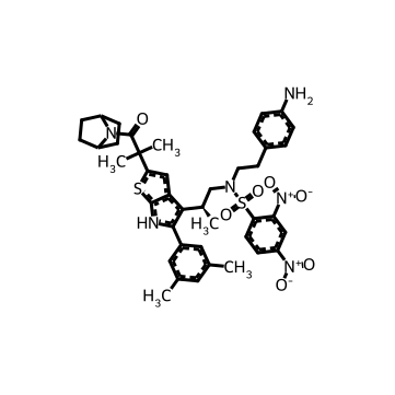 Cc1cc(C)cc(-c2[nH]c3sc(C(C)(C)C(=O)N4C5CCC4CC5)cc3c2[C@H](C)CN(CCc2ccc(N)cc2)S(=O)(=O)c2ccc([N+](=O)[O-])cc2[N+](=O)[O-])c1